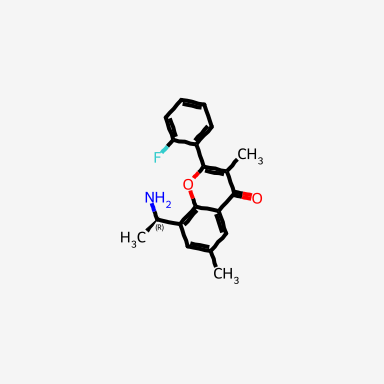 Cc1cc([C@@H](C)N)c2oc(-c3ccccc3F)c(C)c(=O)c2c1